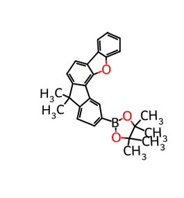 CC1(C)c2ccc(B3OC(C)(C)C(C)(C)O3)cc2-c2c1ccc1c2oc2ccccc21